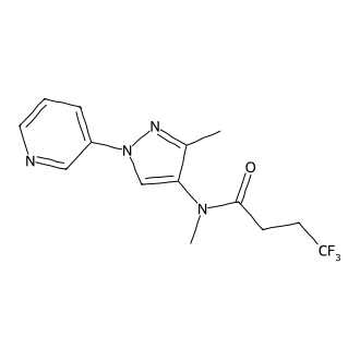 Cc1nn(-c2cccnc2)cc1N(C)C(=O)CCC(F)(F)F